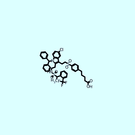 CC(c1ccccc1C(F)(F)F)S(=O)(=O)NCCc1c(CCS(=O)(=O)c2ccc(CCCCC(=O)O)cc2)c2cc(Cl)ccc2n1C(c1ccccc1)c1ccccc1